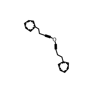 C(#COC#CCCc1ccccc1)CCc1ccccc1